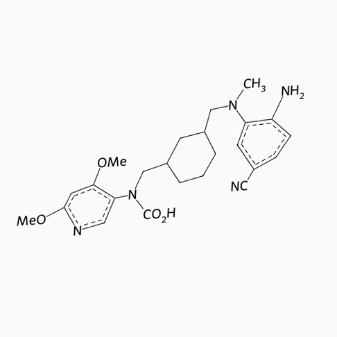 COc1cc(OC)c(N(CC2CCCC(CN(C)c3cc(C#N)ccc3N)C2)C(=O)O)cn1